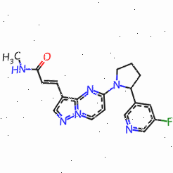 CNC(=O)/C=C/c1cnn2ccc(N3CCCC3c3cncc(F)c3)nc12